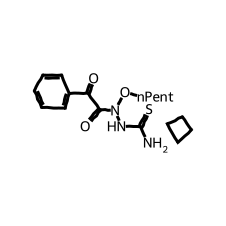 C1CCC1.CCCCCON(NC(N)=S)C(=O)C(=O)c1ccccc1